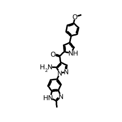 COc1ccc(-c2c[nH]c(C(=O)c3cnn(-c4ccc5[nH]c(C)nc5c4)c3N)c2)cc1